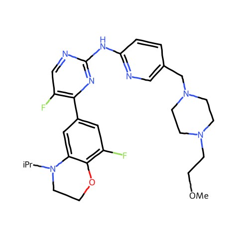 COCCN1CCN(Cc2ccc(Nc3ncc(F)c(-c4cc(F)c5c(c4)N(C(C)C)CCO5)n3)nc2)CC1